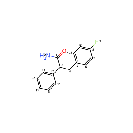 NC(=O)C(Cc1ccc(F)cc1)c1ccccc1